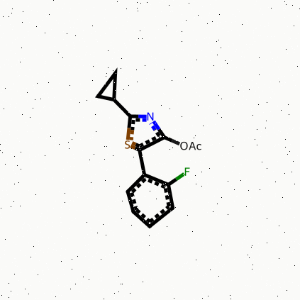 CC(=O)Oc1nc(C2CC2)sc1-c1ccccc1F